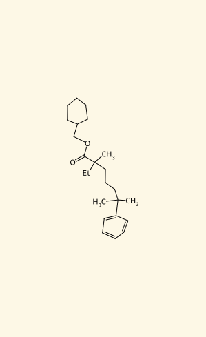 CCC(C)(CCCC(C)(C)c1ccccc1)C(=O)OCC1CCCCC1